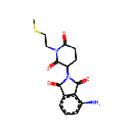 CSCCN1C(=O)CCC(N2C(=O)c3cccc(N)c3C2=O)C1=O